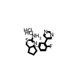 Cl.Cl.NC1=N[C@@]2(c3ccc(F)c(-c4cncnc4)c3)CCCC2CS1